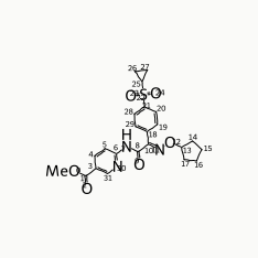 COC(=O)c1ccc(NC(=O)/C(=N/OC2CCCC2)c2ccc(S(=O)(=O)C3CC3)cc2)nc1